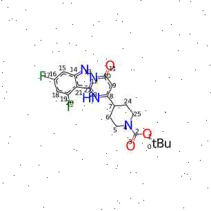 CC(C)(C)OC(=O)N1CCC(c2cc(=O)n3nc4cc(F)cc(F)c4c3[nH]2)CC1